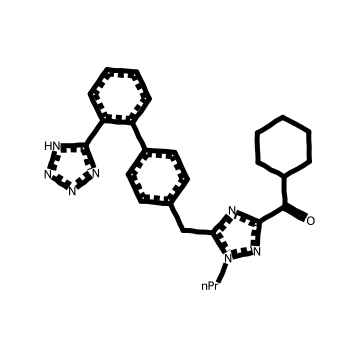 CCCn1nc(C(=O)C2CCCCC2)nc1Cc1ccc(-c2ccccc2-c2nnn[nH]2)cc1